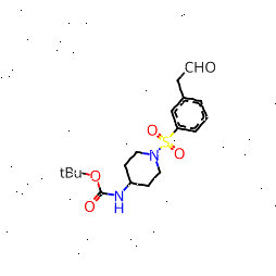 CC(C)(C)OC(=O)NC1CCN(S(=O)(=O)c2cccc(CC=O)c2)CC1